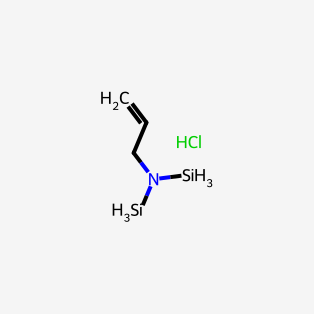 C=CCN([SiH3])[SiH3].Cl